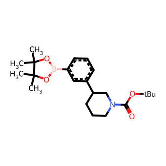 CC(C)(C)OC(=O)N1CCCC(c2cccc(B3OC(C)(C)C(C)(C)O3)c2)C1